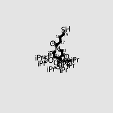 CC(=O)C1(O[Si](C(C)C)(C(C)C)C(C)C)C(O[Si](C(C)C)(C(C)C)C(C)C)CN(C(=O)CCCS)CC1O[Si](C(C)C)(C(C)C)C(C)C